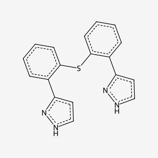 c1ccc(-c2cc[nH]n2)c(Sc2ccccc2-c2cc[nH]n2)c1